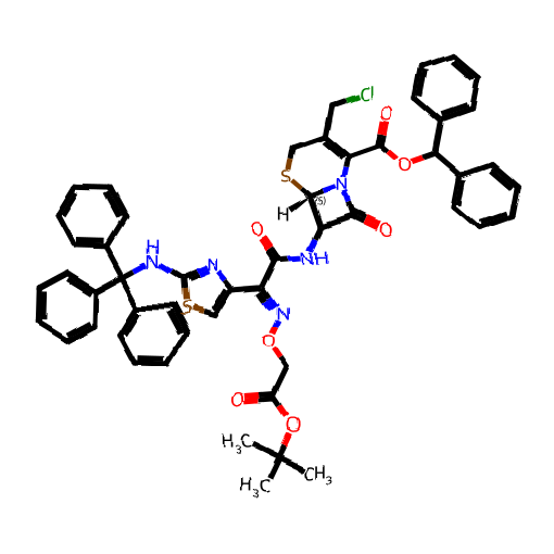 CC(C)(C)OC(=O)CON=C(C(=O)NC1C(=O)N2C(C(=O)OC(c3ccccc3)c3ccccc3)=C(CCl)CS[C@@H]12)c1csc(NC(c2ccccc2)(c2ccccc2)c2ccccc2)n1